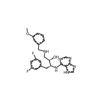 COc1cccc(CNC[C@@H](O)[C@H](Cc2cc(F)cc(F)c2)Nc2ncnc3nc[nH]c23)c1